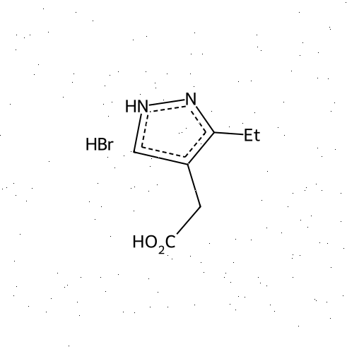 Br.CCc1n[nH]cc1CC(=O)O